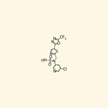 CCCS(=O)(=O)N(Cc1ncc(-c2nnc(C(F)(F)F)o2)s1)c1cncc(Cl)c1